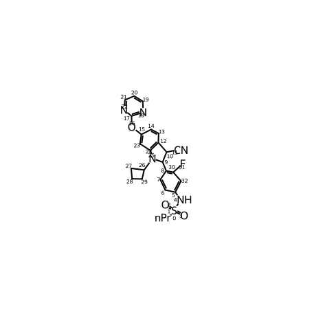 CCCS(=O)(=O)Nc1ccc(C2C(C#N)c3ccc(Oc4ncccn4)cc3N2C2CCC2)c(F)c1